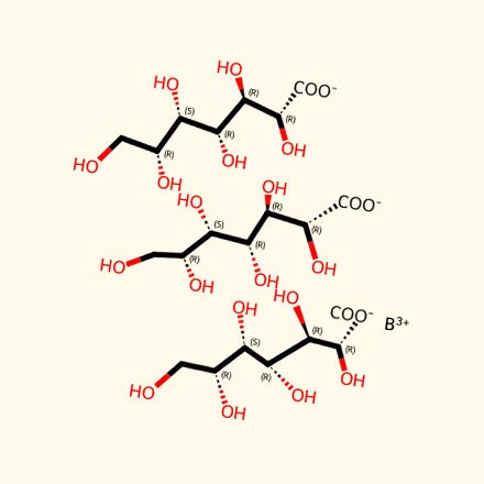 O=C([O-])[C@H](O)[C@H](O)[C@H](O)[C@@H](O)[C@H](O)CO.O=C([O-])[C@H](O)[C@H](O)[C@H](O)[C@@H](O)[C@H](O)CO.O=C([O-])[C@H](O)[C@H](O)[C@H](O)[C@@H](O)[C@H](O)CO.[B+3]